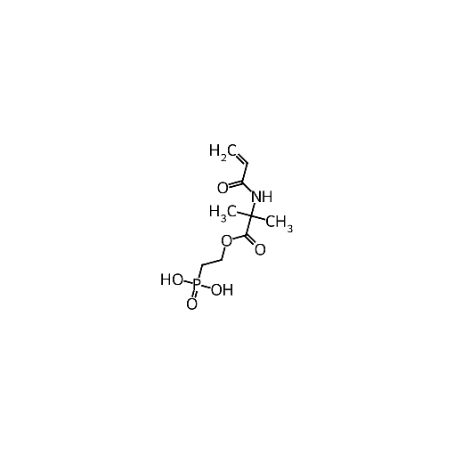 C=CC(=O)NC(C)(C)C(=O)OCCP(=O)(O)O